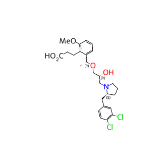 COc1cccc([C@@H](C)OC[C@H](O)CN2CCC[C@H]2Cc2ccc(Cl)c(Cl)c2)c1CCC(=O)O